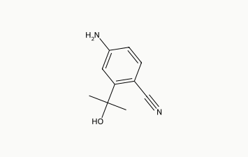 CC(C)(O)c1cc(N)ccc1C#N